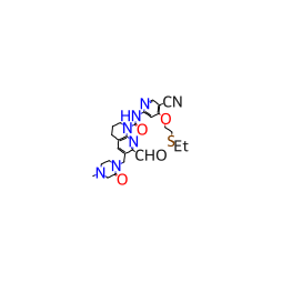 CCSCCOc1cc(NC(=O)N2CCCc3cc(CN4CCN(C)CC4=O)c(C=O)nc32)ncc1C#N